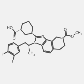 COC(=O)N1CCc2ccc3c(nc([C@@H]4CCC[C@@H](C(=O)O)C4)n3[C@@H](C)Cc3ccc(F)c(F)c3)c2C1